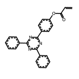 C=CC(=O)Oc1ccc(-c2nc(-c3ccccc3)nc(-c3ccccc3)n2)cc1